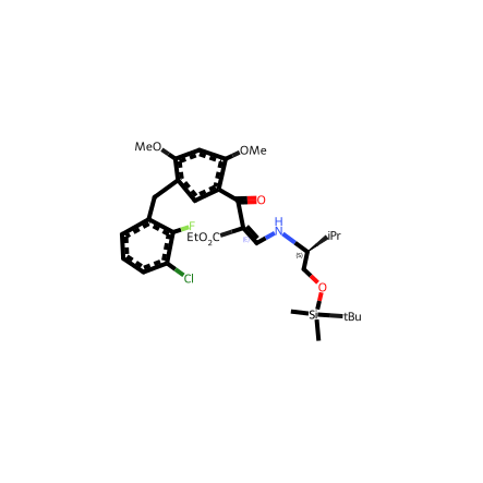 CCOC(=O)/C(=C/N[C@H](CO[Si](C)(C)C(C)(C)C)C(C)C)C(=O)c1cc(Cc2cccc(Cl)c2F)c(OC)cc1OC